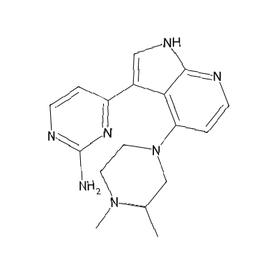 CC1CN(c2ccnc3[nH]cc(-c4ccnc(N)n4)c23)CCN1C